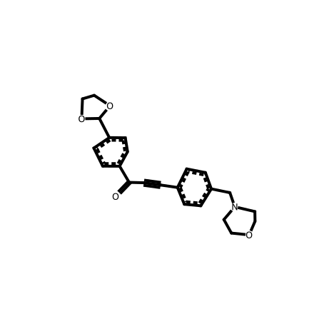 O=C(C#Cc1ccc(CN2CCOCC2)cc1)c1ccc(C2OCCO2)cc1